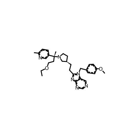 CCOCC[C@](C)(c1ccc(C)nc1)N1CC[C@@H](CCc2nc3ncncc3n2Cc2ccc(OC)cc2)C1